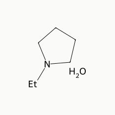 CCN1CCCC1.O